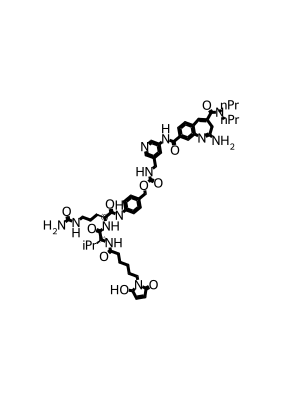 CCCN(CCC)C(=O)C1=Cc2ccc(C(=O)Nc3cncc(CNC(=O)OCc4ccc(NC(=O)[C@H](CCCNC(N)=O)NC(=O)[C@@H](NC(=O)CCCCCN5C(=O)C=CC5O)C(C)C)cc4)c3)cc2N=C(N)C1